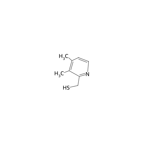 Cc1ccnc(CS)c1C